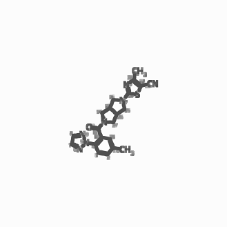 Cc1ccc(-n2nccn2)c(C(=O)N2CC3CN(c4nc(C)c(C#N)s4)CC3C2)c1